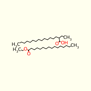 CCCCCCCCCCCCCCC(CC)C(=O)O.CCCCCCCCCCCCCCCC(=O)OCC